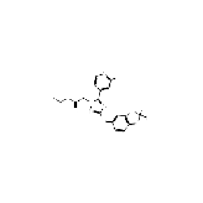 CCNC(=O)Cn1nc(Nc2ccc3c(c2)OC(F)(F)O3)nc1-c1ccnc(Cl)c1